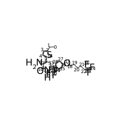 CCc1ccc(C2=C(N)C(=O)N[C@@](c3ccc(OCCCCCC(F)(F)F)cc3)(C(F)(F)F)C2)s1